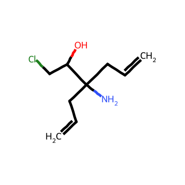 C=CCC(N)(CC=C)C(O)CCl